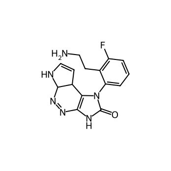 NCCc1c(F)cccc1-n1c2c([nH]c1=O)N=NC1NC=CC21